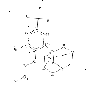 COCOc1c(Br)cc(C(C)(C)C)cc1C12CC3CC(CC(C3)C1)C2